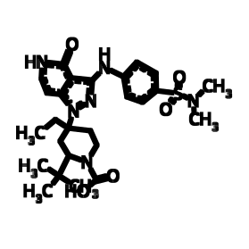 CCC1(n2nc(Nc3ccc(S(=O)(=O)N(C)C)cc3)c3c(=O)[nH]ccc32)CCN(C(=O)O)C(C(C)(C)C)C1